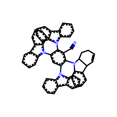 N#Cc1c(N2c3ccccc3C3C=CCCC32)c(-n2c3ccccc3c3ccccc32)cc(-n2c3ccccc3c3ccccc32)c1-n1c2ccccc2c2ccccc21